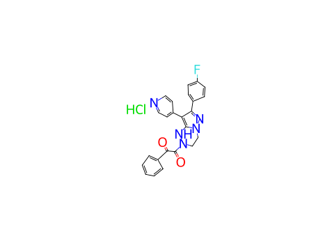 Cl.O=C(C(=O)N1CCn2nc(-c3ccc(F)cc3)c(-c3ccncc3)c2N1)c1ccccc1